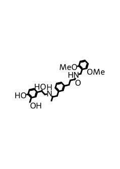 COc1cccc(OC)c1CNC(=O)CCc1cccc(CC(C)NCC(O)c2ccc(O)c(CO)c2)c1